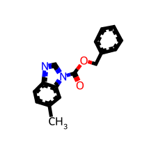 Cc1ccc2ncn(C(=O)OCc3ccccc3)c2c1